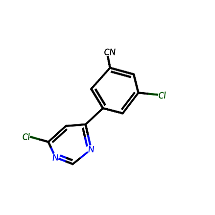 N#Cc1cc(Cl)cc(-c2cc(Cl)ncn2)c1